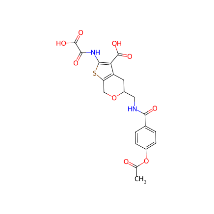 CC(=O)Oc1ccc(C(=O)NCC2Cc3c(sc(NC(=O)C(=O)O)c3C(=O)O)CO2)cc1